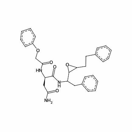 NC(=O)C[C@@H](NC(=O)COc1ccccc1)C(=O)NC(Cc1ccccc1)C1OC1CCc1ccccc1